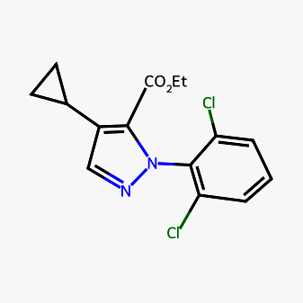 CCOC(=O)c1c(C2CC2)cnn1-c1c(Cl)cccc1Cl